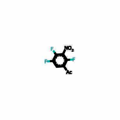 CC(=O)c1cc(F)c(F)c([N+](=O)[O-])c1F